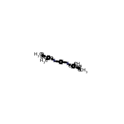 COC(=O)COc1ccc(OC/C=C/C#Cc2ccc(C#C/C=C/COc3ccc(OCC(=O)OC)c(C)c3)cc2)cc1C